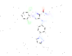 CCc1ccn(-c2ccc(Nc3cn(-c4c(Cl)cccc4Cl)nc3C(N)=O)cc2)n1